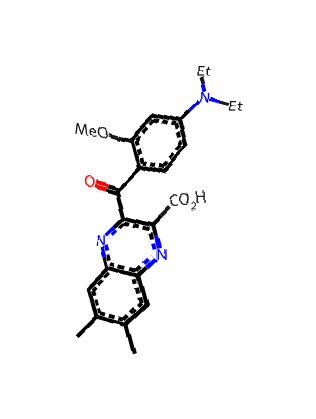 CCN(CC)c1ccc(C(=O)c2nc3cc(C)c(C)cc3nc2C(=O)O)c(OC)c1